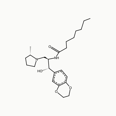 CCCCCCCC(=O)N[C@H](CN1CCC[C@@H]1C)[C@@H](O)c1ccc2c(c1)OCCO2